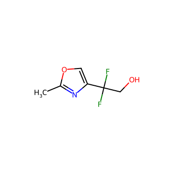 Cc1nc(C(F)(F)CO)co1